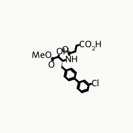 COC(=O)C(O)[C@@H](Cc1ccc(-c2cccc(Cl)c2)cc1)NC(=O)CCC(=O)O